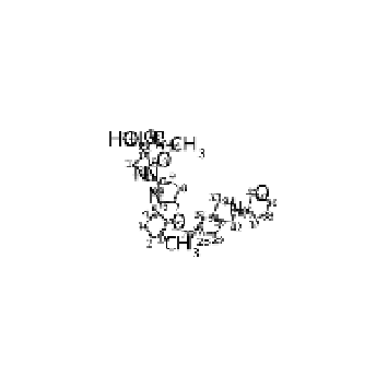 Cc1cccc(-c2cccc(N3N=CC(C(=O)O)C3OC(C)C)n2)c1OCc1ccc2c(c1)CCN([C@H]1CCCOC1)C2